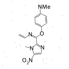 C=CN=C(Oc1ccc(NC)cc1)c1ncc([N+](=O)[O-])n1C